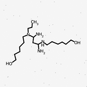 CCCN(CCCCCCO)C(N)CC(N)NCCCCCCO